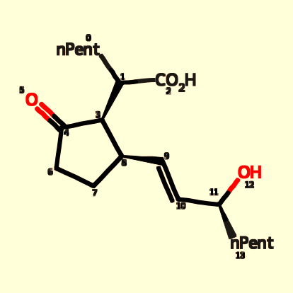 CCCCCC(C(=O)O)[C@@H]1C(=O)CC[C@@H]1C=C[C@@H](O)CCCCC